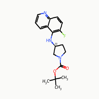 CC(C)(C)OC(=O)N1CC[C@H](Nc2c(F)ccc3ncccc23)C1